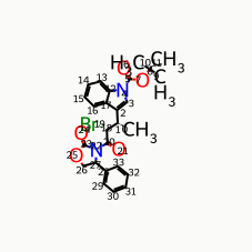 C[C@@H](c1cn(C(=O)OC(C)(C)C)c2ccccc12)[C@@H](Br)C(=O)N1C(=O)OCC1c1ccccc1